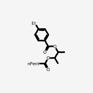 CCCCCC(=O)OC(C)C(C)OC(=O)c1ccc(CC)cc1